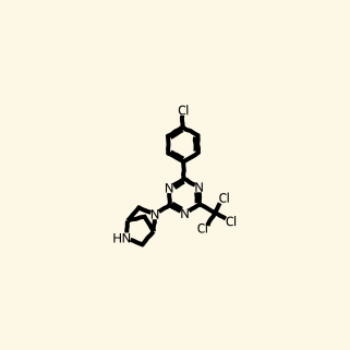 Clc1ccc(-c2nc(N3CC4CC3CN4)nc(C(Cl)(Cl)Cl)n2)cc1